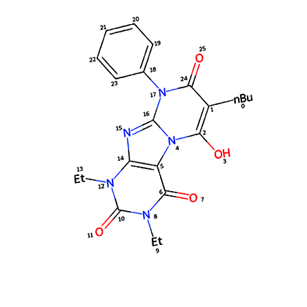 CCCCc1c(O)n2c3c(=O)n(CC)c(=O)n(CC)c3nc2n(-c2ccccc2)c1=O